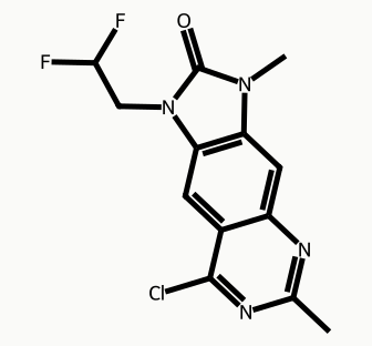 Cc1nc(Cl)c2cc3c(cc2n1)n(C)c(=O)n3CC(F)F